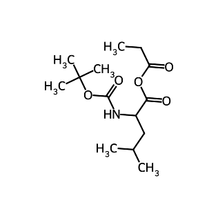 CCC(=O)OC(=O)C(CC(C)C)NC(=O)OC(C)(C)C